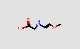 COC=CNCC(=O)O